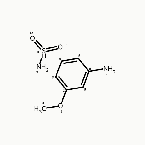 COc1cccc(N)c1.N[SH](=O)=O